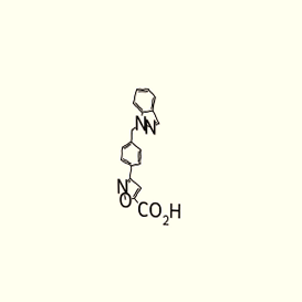 O=C(O)c1cc(-c2ccc(Cn3ncc4ccccc43)cc2)no1